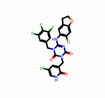 O=c1[nH]cc(Cl)cc1Cn1c(=O)nc(Nc2cc3c(cc2Cl)OCC3)n(Cc2cc(F)c(F)c(F)c2)c1=O